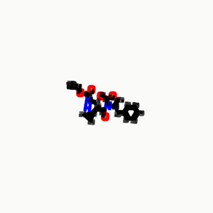 CC(C)(C)OC(=O)NC[C@H](C(=O)N1C(=O)OC[C@@H]1Cc1ccccc1)C1CC1